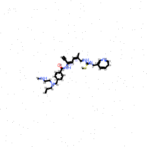 C#C/C(=C\C=C(\C)CN/C(=N/CC1=CN=CCC=C1)SC)NC(=O)c1ccc(CN(CCC)CCNC)cc1